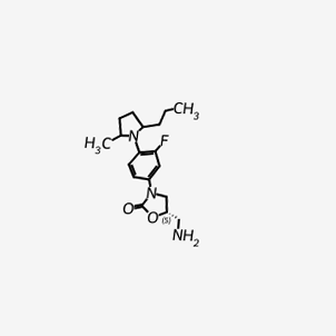 CCCC1CCC(C)N1c1ccc(N2C[C@H](CN)OC2=O)cc1F